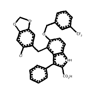 O=C(O)c1[nH]c2ccc(OCc3cccc(C(F)(F)F)c3)c(Cc3cc4c(cc3Cl)OCO4)c2c1-c1ccccc1